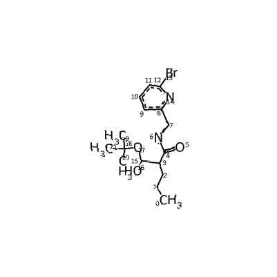 CCCC(C(=O)[N]Cc1cccc(Br)n1)C(O)OC(C)(C)C